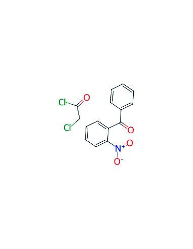 O=C(Cl)CCl.O=C(c1ccccc1)c1ccccc1[N+](=O)[O-]